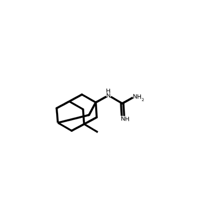 CC12CC3CC(C1)CC(NC(=N)N)(C3)C2